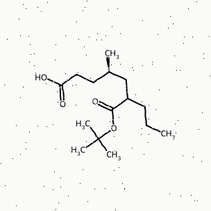 CCCC(C[C@H](C)CCC(=O)O)C(=O)OC(C)(C)C